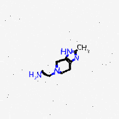 Cc1nc2c([nH]1)CN(CCN)CC2